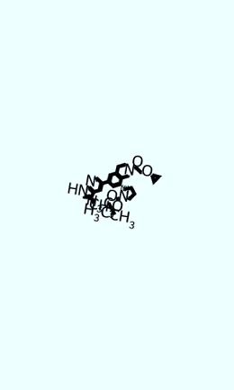 Cc1c[nH]c2ncc(-c3cc4c(c([C@@H]5CCCN5C(=O)OC(C)(C)C)c3)CN(C(=O)COC3CC3)CC4)cc12